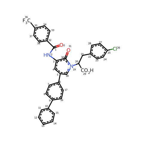 O=C(Nc1cc(-c2ccc(-c3ccccc3)cc2)cn(C(Cc2ccc(Cl)cc2)C(=O)O)c1=O)c1ccc(C(F)(F)F)cc1